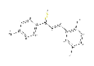 CCc1ccc(C(=S)C=Cc2cc(C)ccc2C)cc1